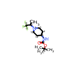 CC(N1CCC(NC(=O)OC(C)(C)C)CC1)C(F)(F)F